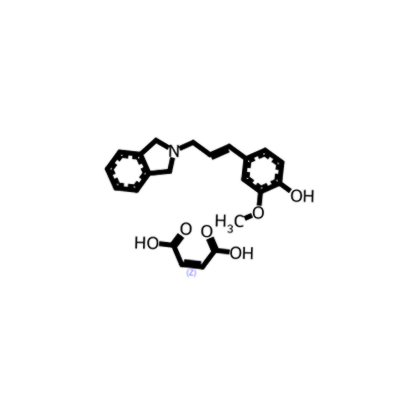 COc1cc(C=CCN2Cc3ccccc3C2)ccc1O.O=C(O)/C=C\C(=O)O